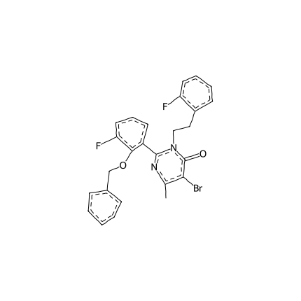 Cc1nc(-c2cccc(F)c2OCc2ccccc2)n(CCc2ccccc2F)c(=O)c1Br